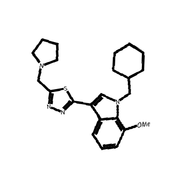 COc1cccc2c(-c3nnc(CN4CCCC4)s3)cn(CC3CCCCC3)c12